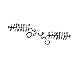 O=C(/C=C/C(=O)OC(CC(F)(F)C(F)(F)C(F)(F)C(F)(F)C(F)(F)C(F)(F)C(F)(F)C(F)(F)F)C1CCCCC1)OC(CC(F)(F)C(F)(F)C(F)(F)C(F)(F)C(F)(F)C(F)(F)C(F)(F)C(F)(F)F)C1CCCCC1